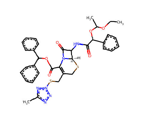 CCOC(C)OC(C(=O)NC1C(=O)N2C(C(=O)OC(c3ccccc3)c3ccccc3)=C(CSn3nnc(C)n3)CS[C@H]12)c1ccccc1